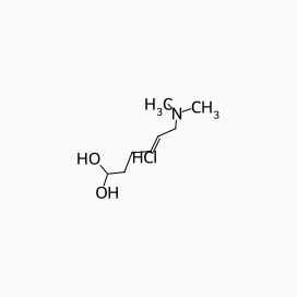 CN(C)CC=CCCC(O)O.Cl